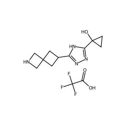 O=C(O)C(F)(F)F.OC1(c2nnc(C3CC4(CNC4)C3)[nH]2)CC1